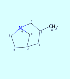 [CH2]C1CC2CCN(C1)C2